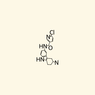 CN(C)C1CCc2[nH]c3ccc(NC(=O)c4ccc(Cl)nc4)cc3c2C1